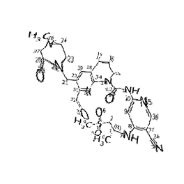 C[C@H](CS(C)(=O)=O)Nc1cc(NC(=O)N2CCCc3cc(CN4CCN(C)CC4=O)c(C=O)nc32)ncc1C#N